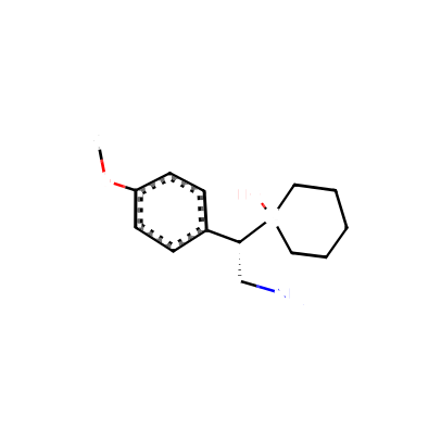 COc1ccc([C@@H](CN)[Si]2(O)CCCCC2)cc1